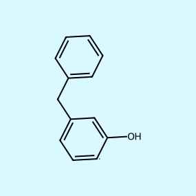 Oc1[c]ccc(Cc2ccccc2)c1